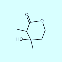 CC1C(=O)OCCC1(C)O